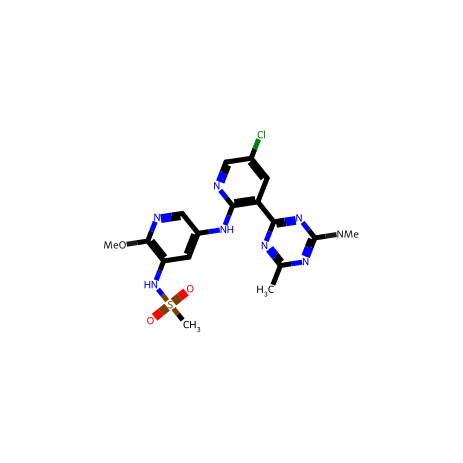 CNc1nc(C)nc(-c2cc(Cl)cnc2Nc2cnc(OC)c(NS(C)(=O)=O)c2)n1